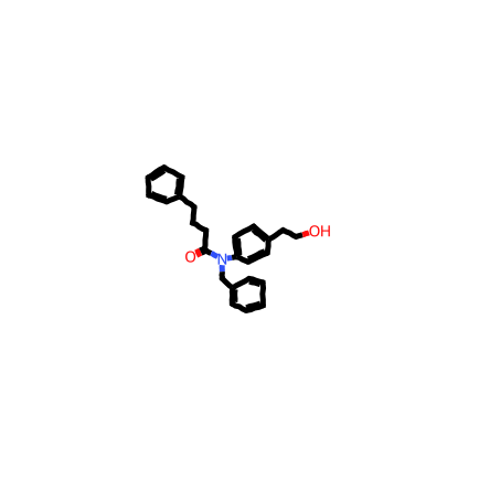 O=C(CCCc1ccccc1)N(Cc1ccccc1)c1ccc(CCO)cc1